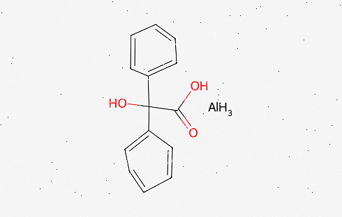 O=C(O)C(O)(c1ccccc1)c1ccccc1.[AlH3]